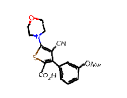 COc1cccc(-c2c(C(=O)O)sc(N3CCOCC3)c2C#N)c1